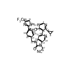 COc1ncnc(C2CC2)c1-c1cc2c(cn1)n(CC#N)c(=O)n2Cc1ccc(-c2nc(C(F)(F)F)cn2C)cc1